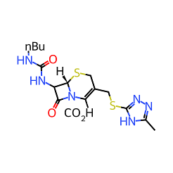 CCCCNC(=O)NC1C(=O)N2C(C(=O)O)=C(CSc3nnc(C)[nH]3)CS[C@@H]12